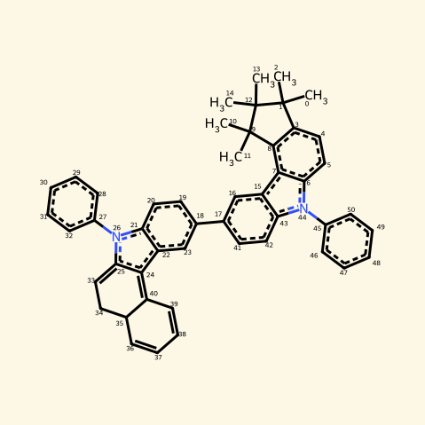 CC1(C)c2ccc3c(c2C(C)(C)C1(C)C)c1cc(-c2ccc4c(c2)c2c(n4-c4ccccc4)=CCC4C=CC=CC=24)ccc1n3-c1ccccc1